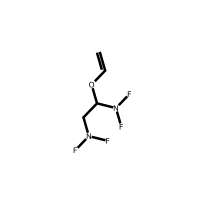 C=COC(CN(F)F)N(F)F